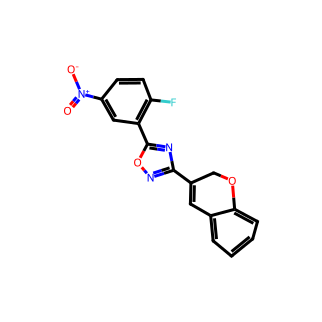 O=[N+]([O-])c1ccc(F)c(-c2nc(C3=Cc4ccccc4OC3)no2)c1